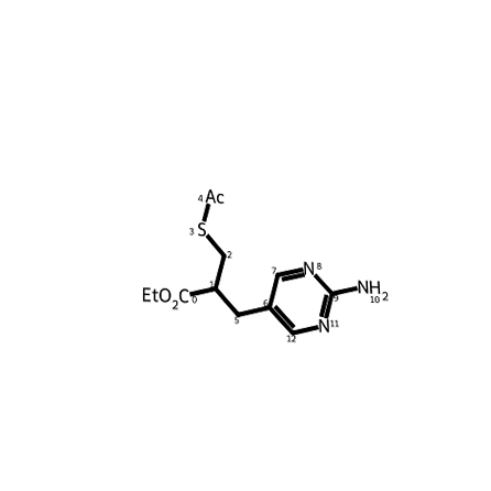 CCOC(=O)C(CSC(C)=O)Cc1cnc(N)nc1